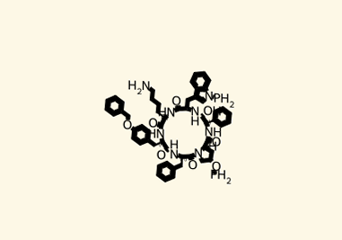 NCCCC[C@H]1NC(=O)C(Cc2cn(P)c3ccccc23)NC(O)[C@@H](c2ccccc2)NC(=O)[C@@H]2CC(OP)CN2C(=O)[C@@H](Cc2ccccc2)NC(=O)[C@@H](Cc2ccc(OCc3ccccc3)cc2)NC1=O